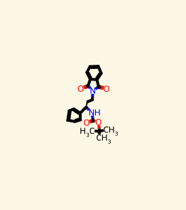 CC(C)(C)OC(=O)N[C@H](CCN1C(=O)c2ccccc2C1=O)c1ccccc1